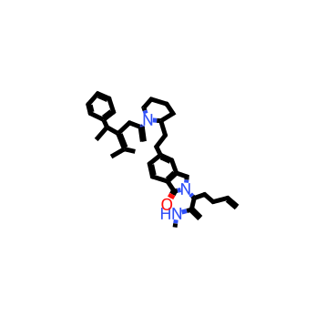 C=CCCC(C(=C)NC)N1Cc2cc(CCC3CCCCN3C(=C)CC(=C(C)C)C(C)c3ccccc3)ccc2C1=O